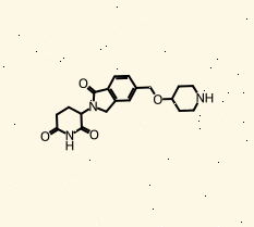 O=C1CCC(N2Cc3cc(COC4CCNCC4)ccc3C2=O)C(=O)N1